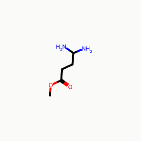 COC(=O)CCC(N)N